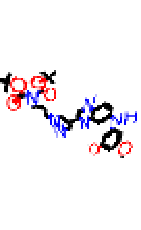 COc1cc(Nc2ccc3ncc(-c4cnn(CCCN(C(=O)OC(C)(C)C)C(=O)OC(C)(C)C)c4)nc3c2)cc(OC)c1